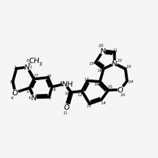 CN1CCOc2ncc(NC(=O)c3ccc4c(c3)-c3cncn3CCO4)cc21